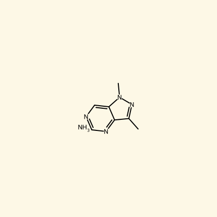 Cc1nn(C)c2cncnc12.N